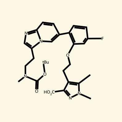 Cc1c(CCOc2cc(F)ccc2-c2ccc3ncc(CCN(C)C(=O)OC(C)(C)C)n3c2)c(C(=O)O)nn1C